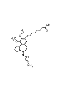 COc1c(OCCCCCCC(=O)O)cc2c(c1OC)C1=C(CCC1)C(=NNC=NN)CC2